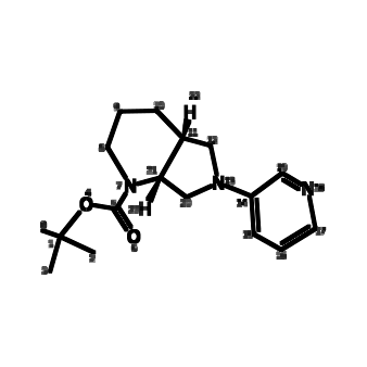 CC(C)(C)OC(=O)N1CCC[C@@H]2CN(c3cccnc3)C[C@@H]21